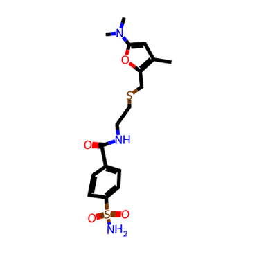 Cc1cc(N(C)C)oc1CSCCNC(=O)c1ccc(S(N)(=O)=O)cc1